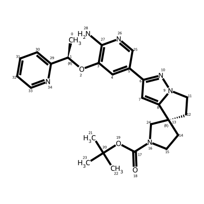 C[C@@H](Oc1cc(-c2cc3n(n2)CC[C@@]32CCN(C(=O)OC(C)(C)C)C2)cnc1N)c1ccccn1